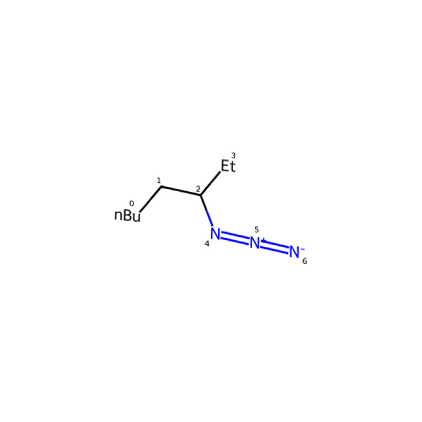 CCCCCC(CC)N=[N+]=[N-]